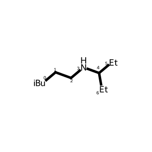 CCC(C)CCNC(CC)CC